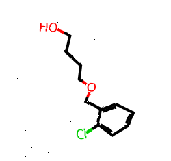 OCCCCOCc1ccccc1Cl